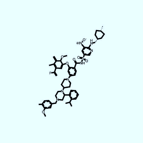 C=C(F)C1=C(C)C(=C)C(OC)C(Oc2cc(N3CCC(N4CCN(Cc5ccc(C)c(OC)c5)CC4c4ccccc4C(C)C)CC3)ccc2C(=O)NS(=O)(=O)c2cnc(NC[C@H]3CC[C@@H](C)CC3)c([NH+](C)[O-])c2)=C1